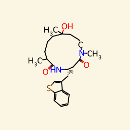 CC1CCCC(C)(O)CCCN(C)C(=O)C[C@H](Cc2csc3ccccc23)NC1=O